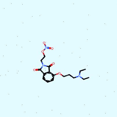 CCN(CC)CCCOc1cccc2c1C(=O)N(CCO[N+](=O)[O-])C2=O